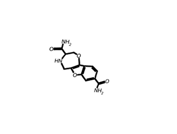 NC(=O)c1ccc2c3c(oc2c1)CNC(C(N)=O)CO3